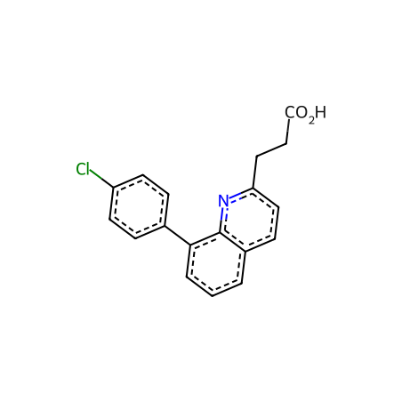 O=C(O)CCc1ccc2cccc(-c3ccc(Cl)cc3)c2n1